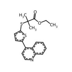 CCOC(=O)C(C)(C)Sc1ccc(-c2ccnc3ccccc23)s1